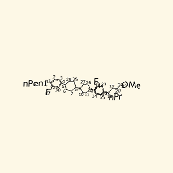 CCCCCc1ccc(C2CCC(C3CCC(c4ccc(C(CCC)CCCOC)cc4F)CC3)CC2)cc1F